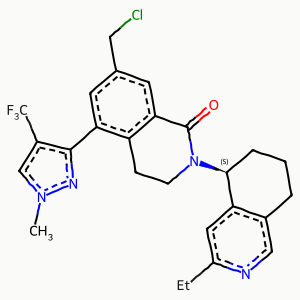 CCc1cc2c(cn1)CCC[C@@H]2N1CCc2c(cc(CCl)cc2-c2nn(C)cc2C(F)(F)F)C1=O